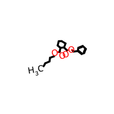 CCCCCCOC(=O)C1CCCCC1C(=O)OCc1ccccc1